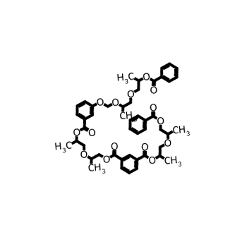 CC(COCC(C)OC(=O)c1ccccc1)OCOc1cccc(C(=O)OC(C)COC(C)COC(=O)c2cccc(C(=O)OC(C)COC(C)COC(=O)c3ccccc3)c2)c1